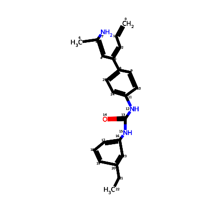 C=C/C=C(\C=C(\C)N)c1ccc(NC(=O)Nc2cccc(CC)c2)cc1